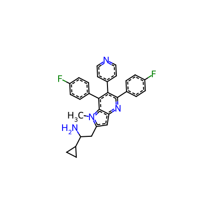 Cn1c(CC(N)C2CC2)cc2nc(-c3ccc(F)cc3)c(-c3ccncc3)c(-c3ccc(F)cc3)c21